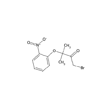 CC(C)(Oc1ccccc1[N+](=O)[O-])C(=O)CBr